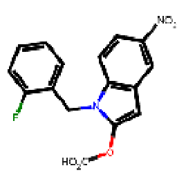 O=C(O)Oc1cc2cc([N+](=O)[O-])ccc2n1Cc1ccccc1F